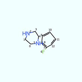 C1CNCCN1.Fc1ccccc1